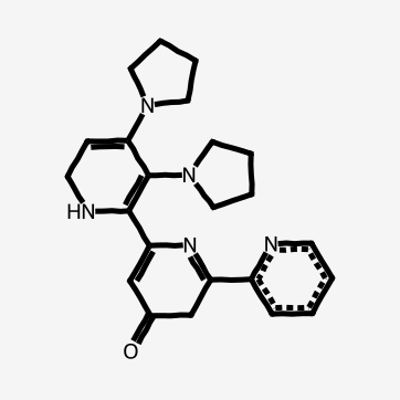 O=C1C=C(C2=C(N3CCCC3)C(N3CCCC3)=CCN2)N=C(c2ccccn2)C1